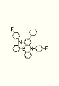 Fc1ccc(N2c3ccccc3B3c4ccccc4N(c4ccc(F)cc4)c4cc(C5CCCCC5)cc2c43)cc1